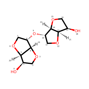 O[C@@H]1CO[C@H]2[C@@H]1OC[C@@H]2O[C@H]1CO[C@H]2[C@@H]1OC[C@H]2O